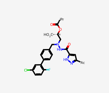 CC(=O)c1cc(C(=O)NN(Cc2ccc(-c3cc(Cl)ccc3F)cc2)C[C@@H](OC(=O)C(C)C)C(=O)O)[nH]n1